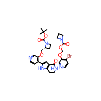 CC(C)(C)OC(=O)N1CC[C@@H]1COc1cnccc1-c1cc2c([nH]1)CCNC2=O.O=C(OCOc1cnccc1Br)N1CCC1